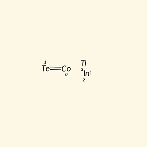 [Co]=[Te].[In].[Ti]